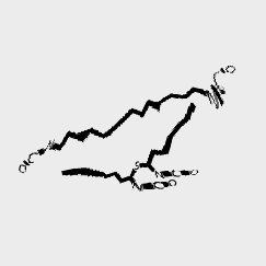 CCCCCC(N=C=O)SC(CCCCC)N=C=O.O=C=NCCCCCCCCCCCCN=C=O